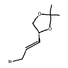 CC1(C)OC[C@H](C=CCBr)O1